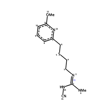 CN/C(=N/CCSCc1cccc(OC)n1)NC#N